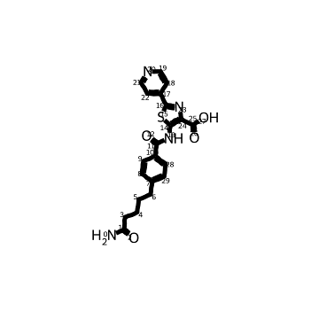 NC(=O)CCCCc1ccc(C(=O)Nc2sc(-c3ccncc3)nc2C(=O)O)cc1